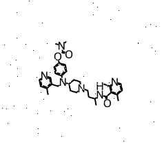 Cc1ccncc1CN(c1ccc(OC(=O)N(C)C)cc1)C1CCN(CCC(C)NC(=O)c2c(C)ccnc2C)CC1